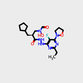 CCc1nc(NNC(=O)[C@@H](CC2CCCC2)CN(O)C=O)c(F)c(N2CCCO2)n1